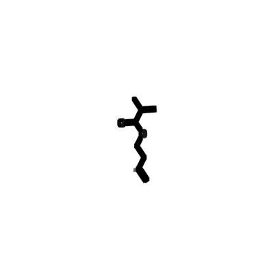 C=[C]CCOC(=O)C(=C)C